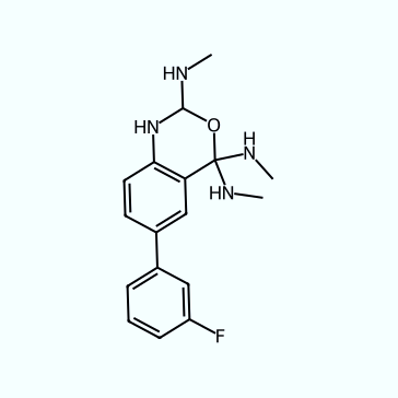 CNC1Nc2ccc(-c3cccc(F)c3)cc2C(NC)(NC)O1